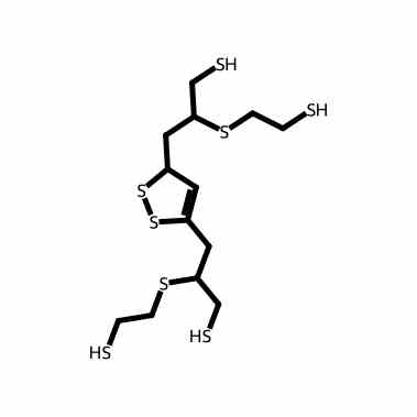 SCCSC(CS)CC1=CC(CC(CS)SCCS)SS1